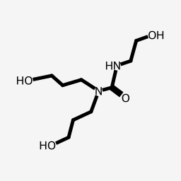 O=C(NCCO)N(CCCO)CCCO